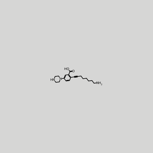 NCCCCCCC#Cc1ccc(N2CCNCC2)cc1C(=O)O